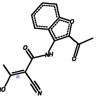 CC(=O)c1oc2ccccc2c1NC(=O)/C(C#N)=C(\C)O